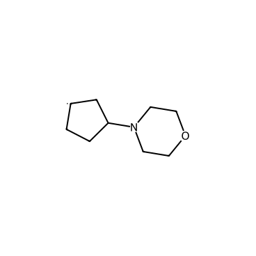 [CH]1CCC(N2CCOCC2)C1